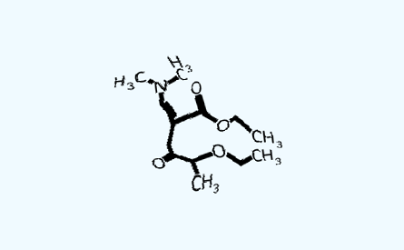 CCOC(=O)/C(=C\N(C)C)C(=O)C(C)OCC